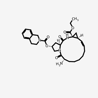 CCOC(=O)[C@@]12C[C@H]1/C=C\CCCCC[C@H](N)C(=O)N1C[C@H](OC(=O)N3CCc4ccccc4C3)C[C@H]1C(=O)N2